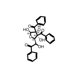 O=C(c1ccccc1)C(O)[C@H]1O[C@@H](O)[C@@](O)(C(=O)c2ccccc2)[C@@]1(O)C(=O)c1ccccc1